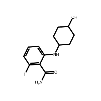 NC(=O)c1c(F)cccc1NC1CCC(O)CC1